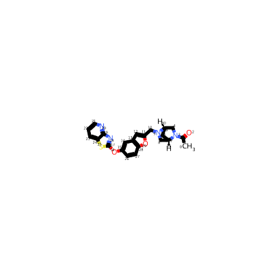 CC(=O)N1C[C@@H]2C[C@H]1CN2Cc1cc2cc(Oc3nc4ncccc4s3)ccc2o1